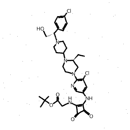 CC[C@H]1CN(c2ncc(Nc3c(NCC(=O)OC(C)(C)C)c(=O)c3=O)cc2Cl)CCN1C1CCN([C@H](CO)c2ccc(Cl)cc2)CC1